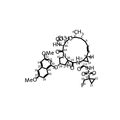 CC[C@@H]1O[C@H](C)CCC=C[C@@H]2C[C@@]2(C(=O)NS(=O)(=O)C2(CF)CC2)NC(=O)[C@@H]2C[C@@H](Oc3nc(OC)cc4cc(OC)ccc34)CN2C(=O)[C@H]1NC(=O)O